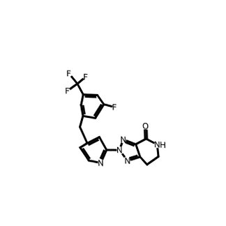 O=C1NCCc2nn(-c3cc(Cc4cc(F)cc(C(F)(F)F)c4)ccn3)nc21